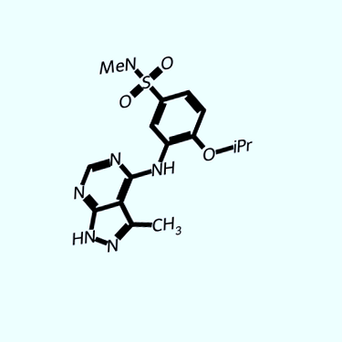 CNS(=O)(=O)c1ccc(OC(C)C)c(Nc2ncnc3[nH]nc(C)c23)c1